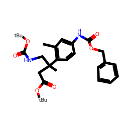 Cc1cc(NC(=O)OCc2ccccc2)ccc1C(C)(CNC(=O)OC(C)(C)C)CC(=O)OC(C)(C)C